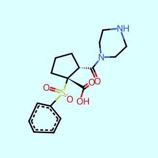 O=C([C@H]1CCC[C@@]1(C(=O)O)S(=O)(=O)c1ccccc1)N1CCNCC1